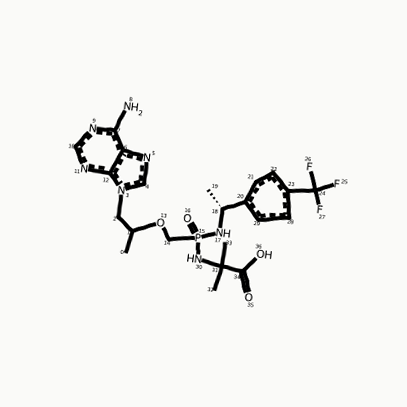 CC(Cn1cnc2c(N)ncnc21)OCP(=O)(N[C@H](C)c1ccc(C(F)(F)F)cc1)NC(C)(C)C(=O)O